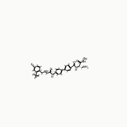 NC[C@H](NC(=O)c1ccc(-c2ccc(NC(=O)CNCc3ccc(F)cc3C(F)(F)F)cc2)cc1)C(=O)NO